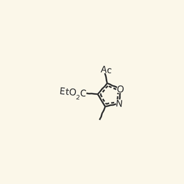 CCOC(=O)c1c(C)noc1C(C)=O